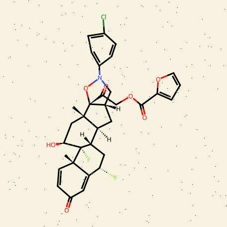 C[C@]12C=CC(=O)C=C1[C@@H](F)C[C@H]1[C@@H]3C[C@H]4CN(c5ccc(Cl)cc5)O[C@@]4(C(=O)COC(=O)c4ccco4)[C@@]3(C)C[C@H](O)[C@@]12F